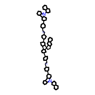 C(=C\c1ccc(-c2ccc3c(c2)c2ccccc2n3-c2ccc3ccccc3c2)cc1)/c1ccc(-c2ccc3c(c2)C2(CCc4cc5ccccc5cc42)c2cc(-c4ccc(/C=C/c5ccc(-c6ccc7c(c6)c6ccccc6n7-c6cccc7ccccc67)cc5)cc4)ccc2-3)cc1